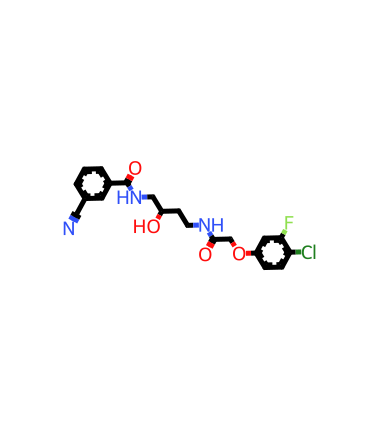 N#Cc1cccc(C(=O)NCC(O)CCNC(=O)COc2ccc(Cl)c(F)c2)c1